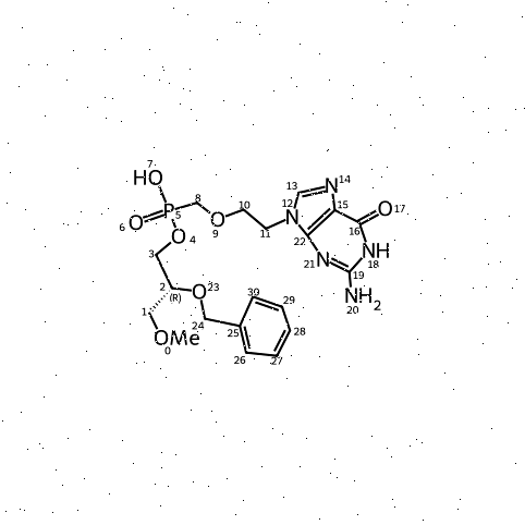 COC[C@H](COP(=O)(O)COCCn1cnc2c(=O)[nH]c(N)nc21)OCc1ccccc1